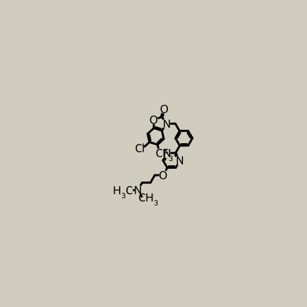 CN(C)CCCOc1cnc(-c2cccc(Cn3c(=O)oc4cc(Cl)c(C(F)(F)F)cc43)c2)nc1